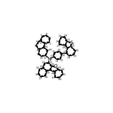 c1ccc2c(c1)ccc1ccc(N(c3ccc(-c4cccc5sc6ccccc6c45)cc3)c3cc4ccccc4c4c3oc3ccccc34)cc12